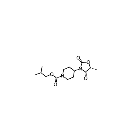 CC(C)COC(=O)N1CCC(N2C(=O)O[C@H](C)C2=O)CC1